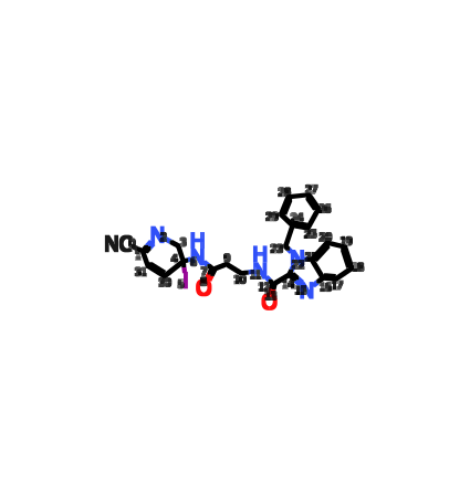 N#CC1=NCC(I)(NC(=O)CCNC(=O)c2nc3ccccc3n2Cc2ccccc2)C=C1